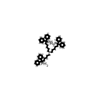 PC(CCCCCP(CCCCCC(P)(c1ccccc1)c1ccccc1)CCCCCC(P)(c1ccccc1)c1ccccc1)(c1ccccc1)c1ccccc1